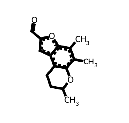 Cc1c2c(c3cc(C=O)oc3c1C)CCC(C)O2